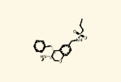 CCCS(=O)(=O)NCc1ccc2c(c1)[C@@H](Cc1ccccc1)[C@@H](NC)CO2